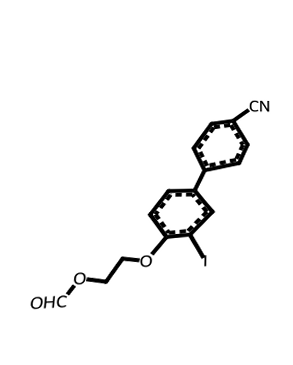 N#Cc1ccc(-c2ccc(OCCOC=O)c(I)c2)cc1